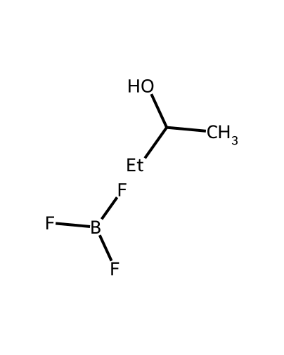 CCC(C)O.FB(F)F